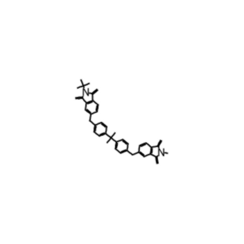 C=c1c2ccc(Cc3ccc(C(C)(C)c4ccc(Cc5ccc6c(=C)n(C(C)(C)C)c(=C)c6c5)cc4)cc3)cc2c(=C)n1C